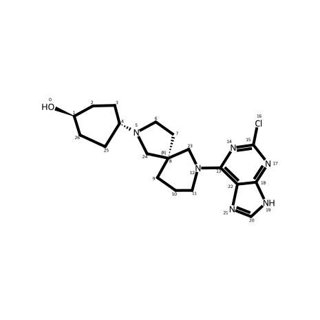 O[C@H]1CC[C@H](N2CC[C@]3(CCCN(c4nc(Cl)nc5[nH]cnc45)C3)C2)CC1